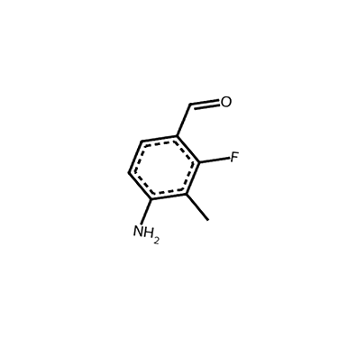 Cc1c(N)ccc(C=O)c1F